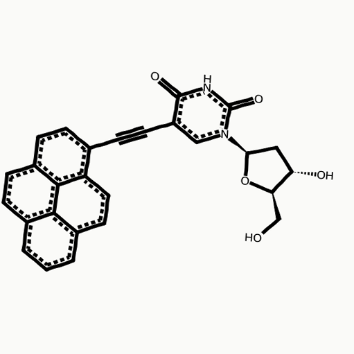 O=c1[nH]c(=O)n([C@H]2C[C@H](O)[C@@H](CO)O2)cc1C#Cc1ccc2ccc3cccc4ccc1c2c34